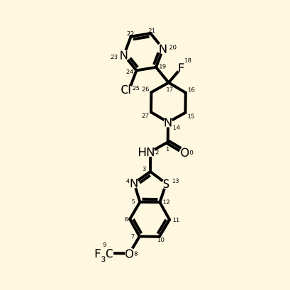 O=C(Nc1nc2cc(OC(F)(F)F)ccc2s1)N1CCC(F)(c2nccnc2Cl)CC1